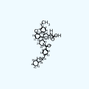 CCc1cccc(-c2c(Cl)cccc2[C@](O)(CCCNC(=O)O)[C@@H]2CCCN(C(=O)c3ccc(CNCC4CCCCC4)cc3)C2)c1